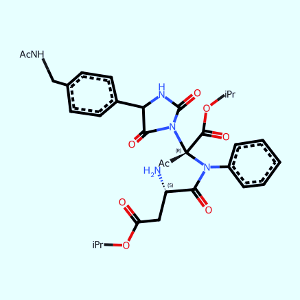 CC(=O)NCc1ccc(C2NC(=O)N([C@](C(C)=O)(C(=O)OC(C)C)N(C(=O)[C@@H](N)CC(=O)OC(C)C)c3ccccc3)C2=O)cc1